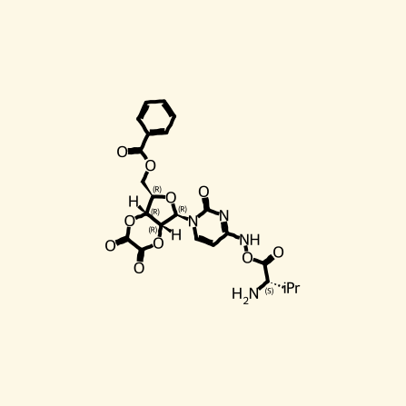 CC(C)[C@H](N)C(=O)ONc1ccn([C@@H]2O[C@H](COC(=O)c3ccccc3)[C@H]3OC(=O)C(=O)O[C@H]32)c(=O)n1